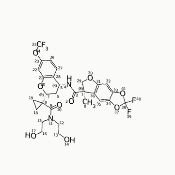 C[C@]1(C(=O)N[C@@H]2C[C@H](C3(C(=O)N(CCO)CCO)CC3)Oc3cc(OC(F)(F)F)ccc32)COc2cc3c(cc21)OC(F)(F)O3